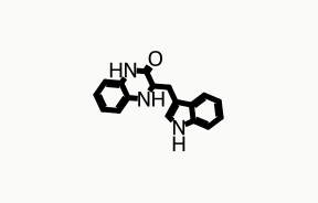 O=C1Nc2ccccc2NC1Cc1c[nH]c2ccccc12